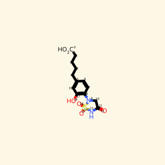 O=C(O)CCCCc1ccc(N2CC(=O)NS2(=O)=O)c(O)c1